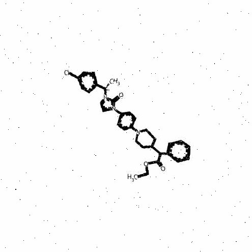 CCOC(=O)C(c1ccccc1)C1CCN(c2ccc(-n3ccn([C@H](C)c4ccc(Cl)cc4)c3=O)cc2)CC1